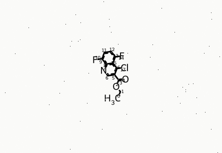 CCOC(=O)c1cnc2c(F)ccc(F)c2c1Cl